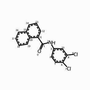 O=C(Nc1ccc(Cl)c(Cl)c1)c1cccc2ccccc12